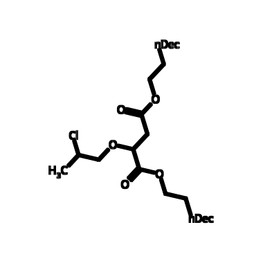 CCCCCCCCCCCCOC(=O)CC(OCC(C)Cl)C(=O)OCCCCCCCCCCCC